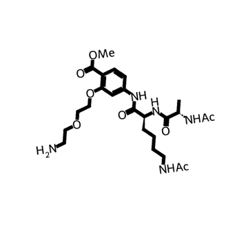 COC(=O)c1ccc(NC(=O)[C@H](CCCCNC(C)=O)NC(=O)[C@H](C)NC(C)=O)cc1OCCOCCN